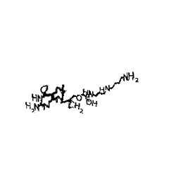 C=C(COCP(O)NCCCNCCCCN)Cn1cnc2c(=O)[nH]c(N)nc21